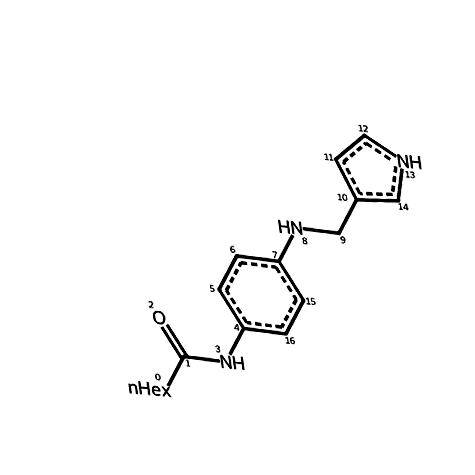 CCCCCCC(=O)Nc1ccc(NCc2cc[nH]c2)cc1